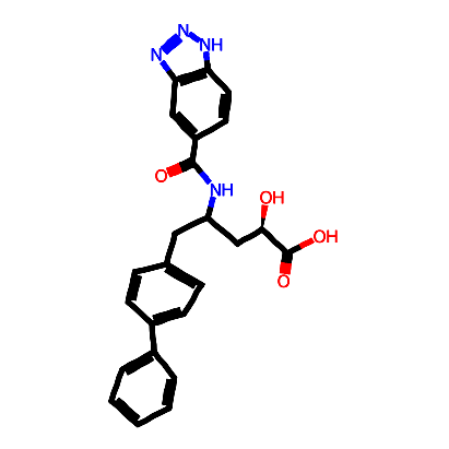 O=C(NC(Cc1ccc(-c2ccccc2)cc1)C[C@@H](O)C(=O)O)c1ccc2[nH]nnc2c1